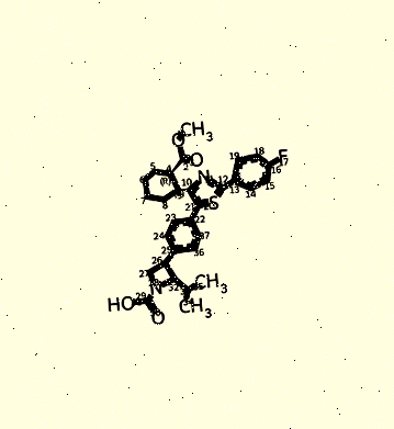 COC(=O)[C@@H]1CCCC[C@H]1c1nc(-c2ccc(F)cc2)sc1-c1ccc(C2CN(C(=O)O)C2C(C)C)cc1